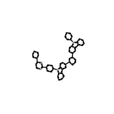 c1ccc(-c2ccnc(-c3ccc(-n4c5ccccc5c5cc(-c6cccc(-c7ccc8c(c7)c7ccccc7n8-c7ccccc7)c6)ccc54)cc3)n2)cc1